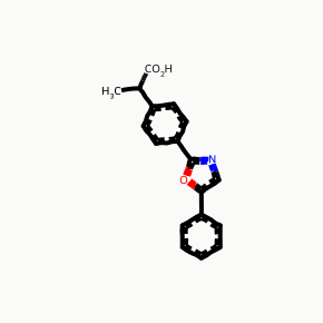 CC(C(=O)O)c1ccc(-c2ncc(-c3ccccc3)o2)cc1